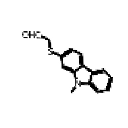 Cn1c2ccccc2c2ccc(SCC=O)cc21